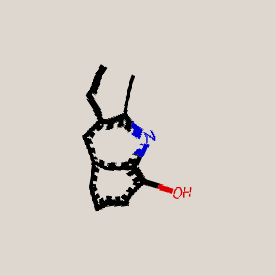 C=Cc1cc2cccc(O)c2nc1C